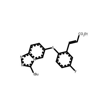 CCOC(=O)C=Cc1cc(F)ccc1Sc1ccc2nnc(C(C)(C)C)n2c1